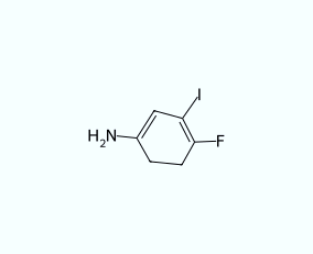 NC1=CC(I)=C(F)CC1